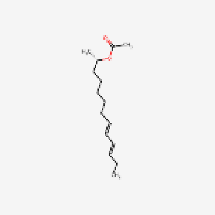 CC/C=C/C=C/CCCCC[C@H](C)OC(C)=O